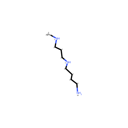 CCCNCCCNCCCCN